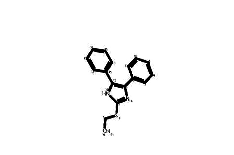 CCSc1nc(-c2ccccc2)c(-c2ccccc2)[nH]1